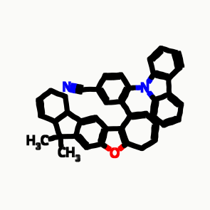 CC1(C)c2cc3oc4c(c3cc2C2CCC=CC21)C(c1cc(C#N)ccc1-n1c2ccc#cc2c2ccccc21)=CC=CC4